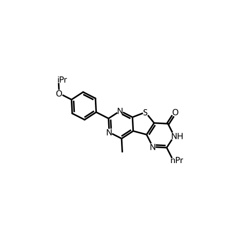 CCCc1nc2c(sc3nc(-c4ccc(OC(C)C)cc4)nc(C)c32)c(=O)[nH]1